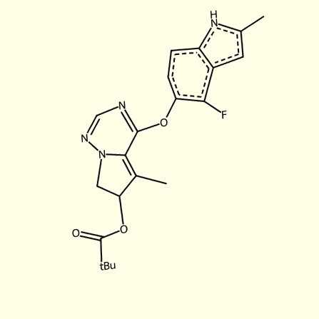 CC1=C2C(Oc3ccc4[nH]c(C)cc4c3F)=NC=NN2CC1OC(=O)C(C)(C)C